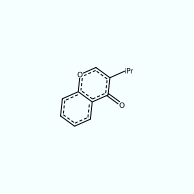 CC(C)c1coc2ccccc2c1=O